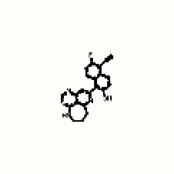 C#Cc1c(F)ccc2c(-c3cc4ncnc5c4c(n3)CCCN5)c(O)ccc12